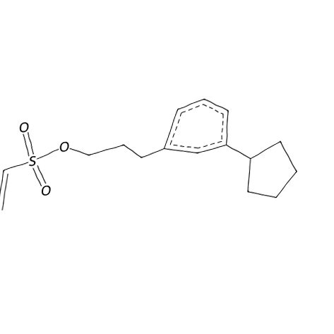 C=CS(=O)(=O)OCCCc1cccc(C2CCCC2)c1